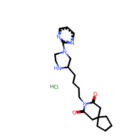 Cl.O=C1CC2(CCCC2)CC(=O)N1CCCCC1CN(c2ncccn2)CCN1